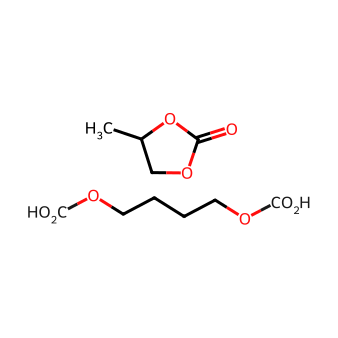 CC1COC(=O)O1.O=C(O)OCCCCOC(=O)O